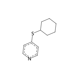 c1cc(SC2CCCCC2)ccn1